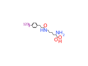 N[C@@H](CCCCNC(=O)CCc1ccc([123I])cc1)C(=O)O